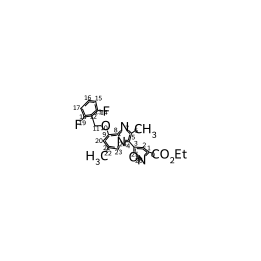 CCOC(=O)c1cc(-c2c(C)nc3c(OCc4c(F)cccc4F)cc(C)cn23)on1